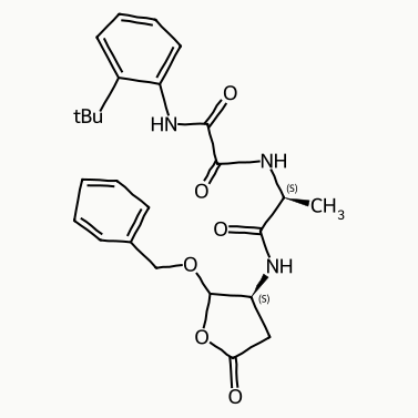 C[C@H](NC(=O)C(=O)Nc1ccccc1C(C)(C)C)C(=O)N[C@H]1CC(=O)OC1OCc1ccccc1